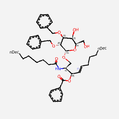 CCCCCCCCCCCCC/C=C/[C@@H](OC(=O)c1ccccc1)[C@H](CO[C@H]1O[C@H](CO)[C@H](O)[C@H](OCc2ccccc2)[C@H]1OCc1ccccc1)NC(=O)CCCCCCCCCCCCCCC